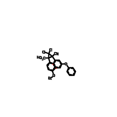 CCOc1ccc(C2(C(=O)O)C(Cl)(Cl)C2(C#N)c2cccc(Oc3ccccc3)c2)cc1